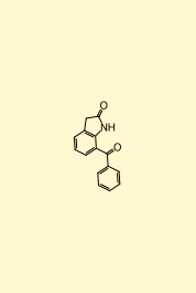 O=C1Cc2cccc(C(=O)c3ccccc3)c2N1